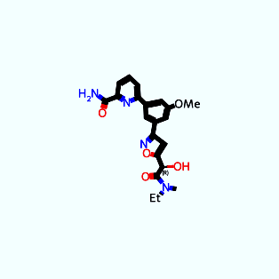 CCN(C)C(=O)[C@H](O)c1cc(-c2cc(OC)cc(-c3cccc(C(N)=O)n3)c2)no1